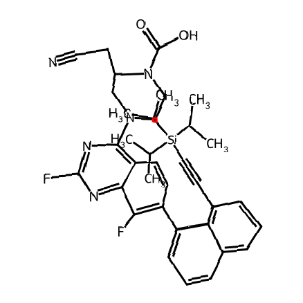 CC(C)[Si](C#Cc1cccc2cccc(-c3ccc4c(N5CCN(C(=O)O)C(CC#N)C5)nc(F)nc4c3F)c12)(C(C)C)C(C)C